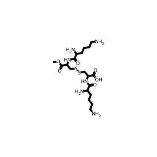 COC(=O)C(CSSCC(NC(=O)C(N)CCCCN)C(=O)O)NC(=O)C(N)CCCCN